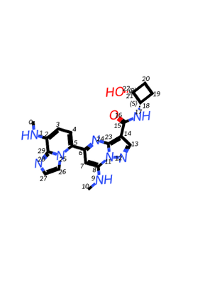 CNc1ccc(-c2cc(NC)n3ncc(C(=O)N[C@H]4CC[C@H]4O)c3n2)n2ccnc12